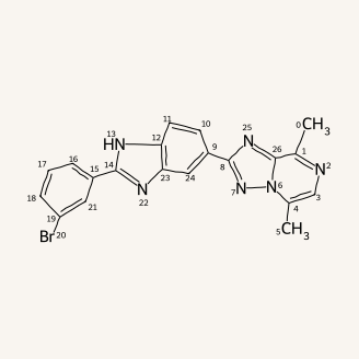 Cc1ncc(C)n2nc(-c3ccc4[nH]c(-c5cccc(Br)c5)nc4c3)nc12